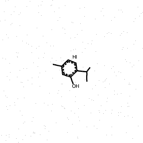 Cc1ccc(C(C)C)c(O)c1.I